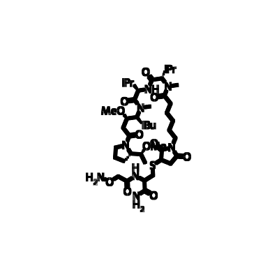 CC[C@H](C)C([C@@H](CC(=O)N1CCC[C@H]1[C@@H](C)OC)OC)N(C)C(=O)[C@H](NC(=O)[C@H](C(C)C)N(C)C(=O)CCCCCN1C(=O)CC(SCC(NC(=O)CON)C(N)=O)C1=O)C(C)C